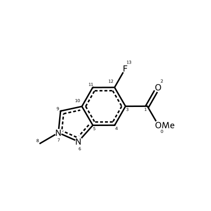 COC(=O)c1cc2nn(C)cc2cc1F